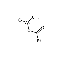 CCC(=O)O[As](C)C